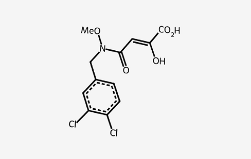 CON(Cc1ccc(Cl)c(Cl)c1)C(=O)C=C(O)C(=O)O